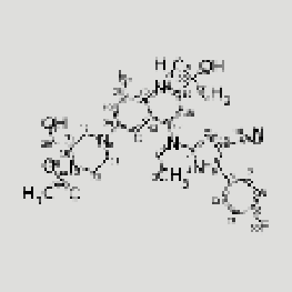 CCN(c1nc(-c2ccc(F)cc2)c(C#N)s1)c1cc(C(C)(C)O)nc2c(F)cc(N3CCN(S(C)(=O)=O)[C@H](CO)C3)cc12